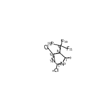 CC1N=C(Cl)N=C(Cl)C1C(F)(F)F